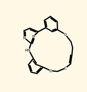 C1=C\CCOc2cccc(c2)-c2ccnc(n2)Nc2cccc(c2)OCC/1